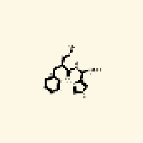 CCOC(=O)C(NC(=O)C(CSC(C)=O)Cc1ccccc1)c1cscn1